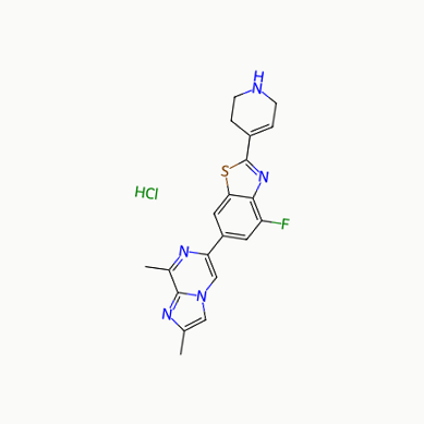 Cc1cn2cc(-c3cc(F)c4nc(C5=CCNCC5)sc4c3)nc(C)c2n1.Cl